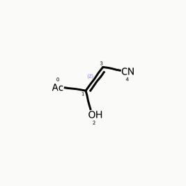 CC(=O)/C(O)=C/C#N